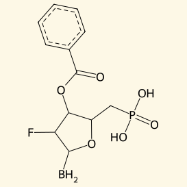 BC1OC(CP(=O)(O)O)C(OC(=O)c2ccccc2)C1F